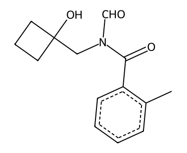 Cc1ccccc1C(=O)N(C=O)CC1(O)CCC1